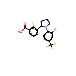 O=C(O)c1cccc(C2CCCN2c2ccc(C(F)(F)F)cc2Cl)c1F